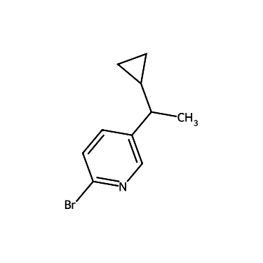 CC(c1ccc(Br)nc1)C1CC1